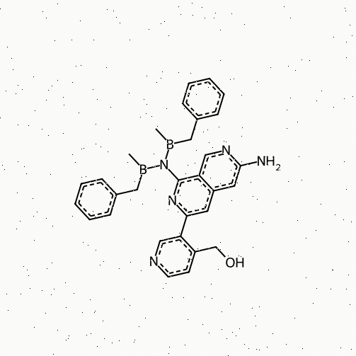 CB(Cc1ccccc1)N(B(C)Cc1ccccc1)c1nc(-c2cnccc2CO)cc2cc(N)ncc12